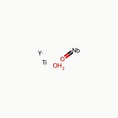 O.[O]=[Nb].[Ti].[Y]